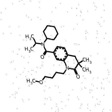 COCCCCN1C(=O)C(C)(C)Cc2ccc(C(=O)N(C(C)C)C3CCCCC3)cc21